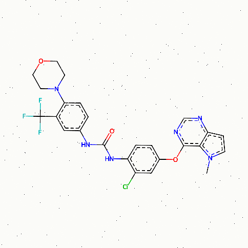 Cn1ccc2ncnc(Oc3ccc(NC(=O)Nc4ccc(N5CCOCC5)c(C(F)(F)F)c4)c(Cl)c3)c21